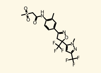 Cc1cc(C2=NOC(c3cc(C(F)(F)F)nn3C)(C(F)(F)F)C2)ccc1NC(=O)CS(C)(=O)=O